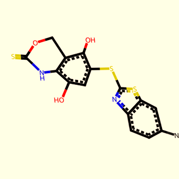 O=[N+]([O-])c1ccc2nc(Sc3cc(O)c4c(c3O)COC(=S)N4)sc2c1